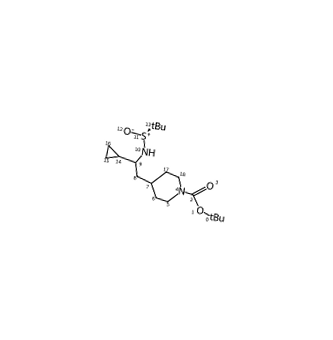 CC(C)(C)OC(=O)N1CCC(CC(N[S@@+]([O-])C(C)(C)C)C2CC2)CC1